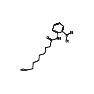 CCCCCCCCCCCCCCCCCC(=O)Nc1ccccc1N(CC)CC